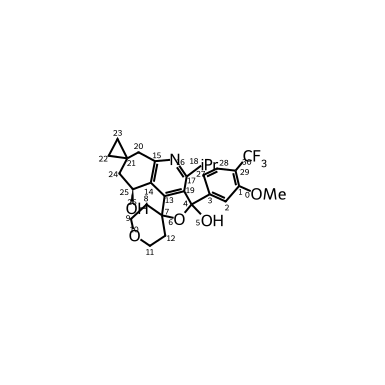 COc1cc(C2(O)OC3(CCOCC3)c3c4c(nc(C(C)C)c32)CC2(CC2)C[C@@H]4O)ccc1C(F)(F)F